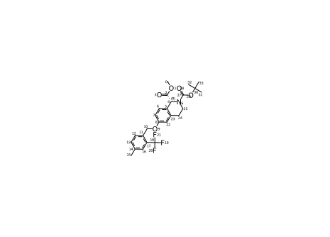 COC(=O)[C@H]1c2ccc(OCc3ccc(C)cc3C(F)(F)F)cc2CCN1C(=O)OC(C)(C)C